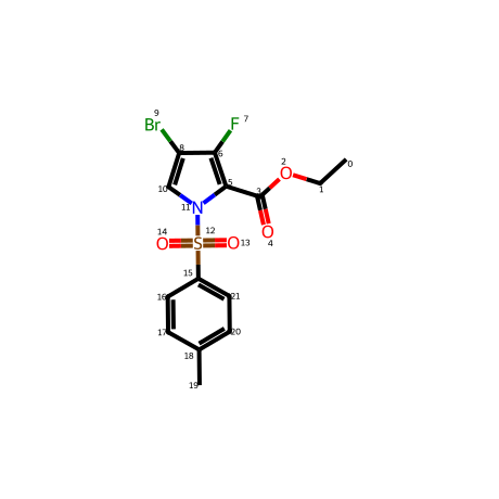 CCOC(=O)c1c(F)c(Br)cn1S(=O)(=O)c1ccc(C)cc1